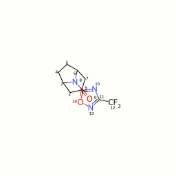 O=C1CC2CCC(C1)N2c1nc(C(F)(F)F)no1